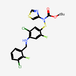 CC(C)(C)OC(=O)N(Sc1cc(Cl)c(NCc2cccc(Cl)c2F)cc1F)c1cscn1